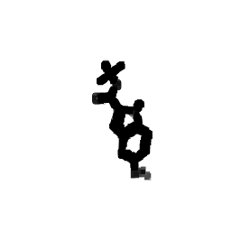 Cn1c(C(=O)OC(C)(C)C)cc2cc(N)ccc21